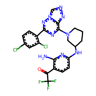 Nc1nc(NC2CCCN(c3nc(-c4ccc(Cl)cc4Cl)nn4cnnc34)C2)ccc1C(=O)C(F)(F)F